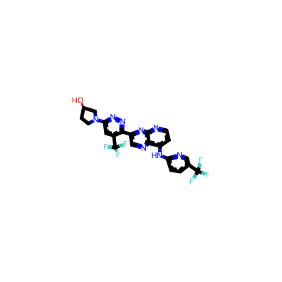 O[C@@H]1CCN(c2cc(C(F)(F)F)c(-c3cnc4c(Nc5ccc(C(F)(F)F)cn5)ccnc4n3)nn2)C1